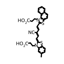 Cc1ccc2c(c1)N(CCC(=O)O)/C(=C/C=C(C#N)/C=C/c1sc3ccc4ccccc4c3[n+]1CCC(=O)O)S2